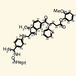 CCCCCCCONC(N)c1ccc(NCc2nc3cc(C(=O)N(CCC(=O)Oc4ccccc4OC)c4ccccn4)ccc3n2C)cc1